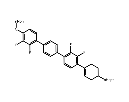 CCCCCCCCCOc1ccc(-c2ccc(-c3ccc(C4=CCC(CCCCCCC)CC4)c(F)c3F)cc2)c(F)c1F